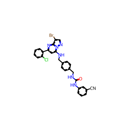 N#Cc1cccc(NC(=O)NCc2ccc(CNc3cc(-c4ccccc4Cl)nc4c(Br)cnn34)cc2)c1